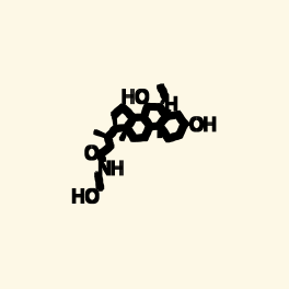 CC[C@H]1[C@@H](O)C2C3CC[C@H]([C@H](C)CC(=O)NCCO)[C@@]3(C)CCC2[C@@]2(C)CC[C@@H](O)C[C@@H]12